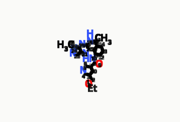 CCOCc1cncc(C(=O)Nc2cccc([C@H](C)Nc3cnc4cnn(C)c4n3)c2)c1